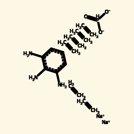 C=C.C=C.C=C.C=C.C=C.C=C.Nc1cccc(N)c1N.O=[PH]([O-])[O-].[Na+].[Na+]